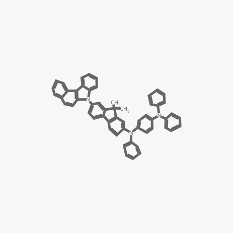 CC1(C)c2cc(N(c3ccccc3)c3ccc(N(c4ccccc4)c4ccccc4)cc3)ccc2-c2ccc(-n3c4ccccc4c4c5ccccc5ccc43)cc21